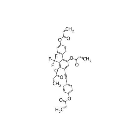 C=CC(=O)Oc1ccc(C#Cc2cc(OC(=O)C=C)c(-c3ccc(OC(=O)C=C)cc3)c(C(F)(F)F)c2OC(=O)C=C)cc1